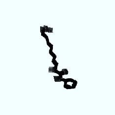 CCCCCCCCCCCCCCCCCCNC(=O)Nc1ccccc1